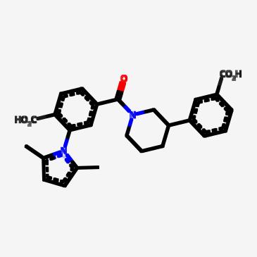 Cc1ccc(C)n1-c1cc(C(=O)N2CCCC(c3cccc(C(=O)O)c3)C2)ccc1C(=O)O